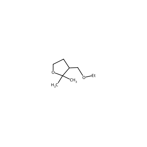 CCOCC1CCOC1(C)C